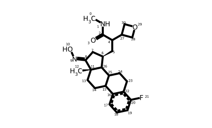 CNC(=O)C(C[C@@H]1C/C(=N\O)[C@@]2(C)CCC3c4cccc(F)c4CCC3C12)C1COC1